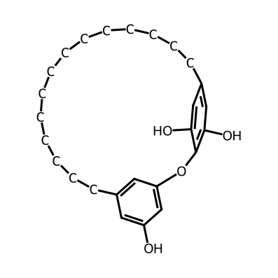 Oc1cc2cc(c1)Oc1c(O)cc(cc1O)CCCCCCCCCCCCCC2